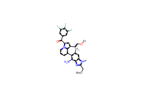 CCO/C=C/c1cc(C(=O)c2cc(F)c(F)c(F)c2)n2cccc(-c3c(C(F)(F)F)cc4c(nc(COC)n4C)c3N)c12